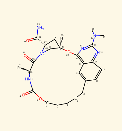 CC(C)[C@@H]1NC(=O)OCCCCCc2ccc3nc(N(C)C)nc(c3c2)O[C@@H]2C[C@@H](C(N)=O)N(C2)C1=O